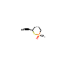 C#CC1CCCP(C)(=O)S1